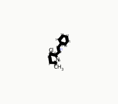 Cc1ccc(Cl)c(/C=C/c2ccccc2)n1